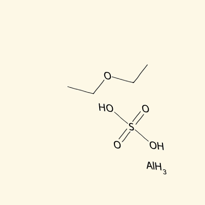 CCOCC.O=S(=O)(O)O.[AlH3]